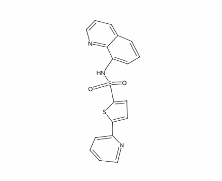 O=S(=O)(Nc1cccc2cccnc12)c1ccc(-c2ccccn2)s1